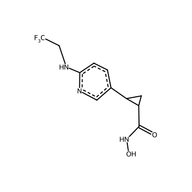 O=C(NO)C1CC1c1ccc(NCC(F)(F)F)nc1